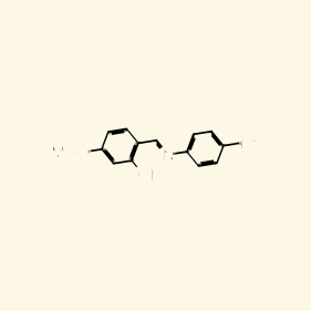 COc1ccc(C=Nc2ccc(C(C)C)cc2)c(O)c1